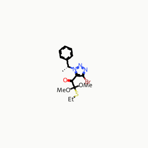 CCSC(OC)(OC)C(=O)c1c(Br)nnn1[C@H](C)c1ccccc1